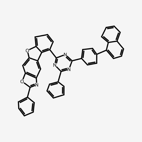 c1ccc(-c2nc(-c3ccc(-c4cccc5ccccc45)cc3)nc(-c3cccc4oc5cc6oc(-c7ccccc7)nc6cc5c34)n2)cc1